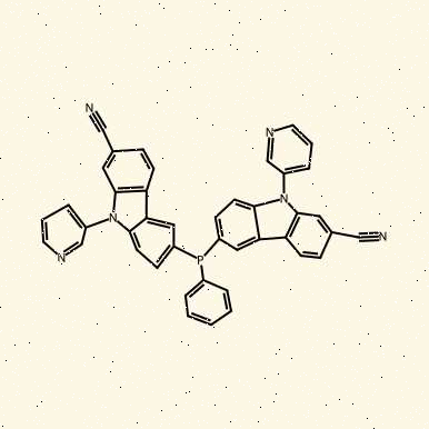 N#Cc1ccc2c3cc(P(c4ccccc4)c4ccc5c(c4)c4ccc(C#N)cc4n5-c4cccnc4)ccc3n(-c3cccnc3)c2c1